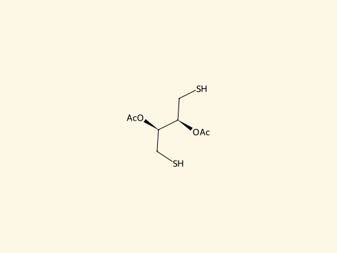 CC(=O)O[C@H](CS)[C@@H](CS)OC(C)=O